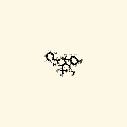 CCOC(=O)C1=C(C(F)(F)F)NC(c2ccccn2)=NC1(C)c1ccc(F)cc1